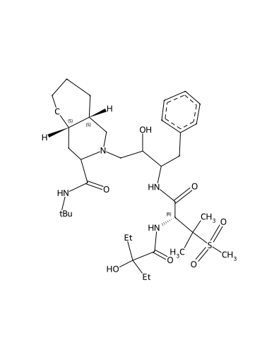 CCC(O)(CC)C(=O)N[C@H](C(=O)NC(Cc1ccccc1)C(O)CN1C[C@H]2CCCC[C@H]2CC1C(=O)NC(C)(C)C)C(C)(C)S(C)(=O)=O